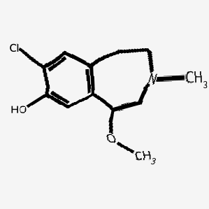 COC1CN(C)CCc2cc(Cl)c(O)cc21